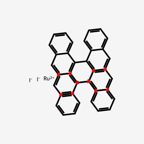 [I-].[I-].[Ru+2].c1ccc(P(c2ccccc2)c2ccc3ccccc3c2-c2c(P(c3ccccc3)c3ccccc3)ccc3ccccc23)cc1